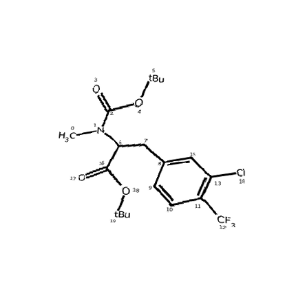 CN(C(=O)OC(C)(C)C)C(Cc1ccc(C(F)(F)F)c(Cl)c1)C(=O)OC(C)(C)C